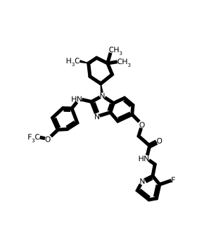 C[C@@H]1C[C@H](n2c(Nc3ccc(OC(F)(F)F)cc3)nc3cc(OCC(=O)NCc4ncccc4F)ccc32)CC(C)(C)C1